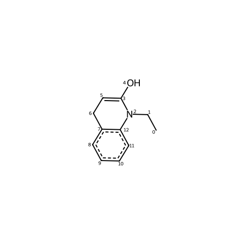 CCN1C(O)=CCc2ccccc21